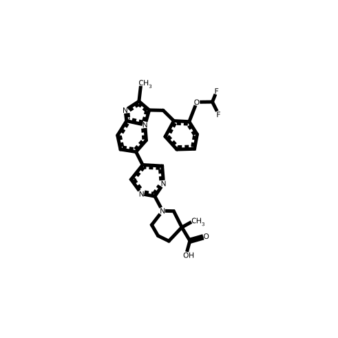 Cc1nc2ccc(-c3cnc(N4CCCC(C)(C(=O)O)C4)nc3)cn2c1Cc1ccccc1OC(F)F